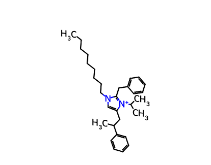 CCCCCCCCCn1cc(CC(C)c2ccccc2)[n+](C(C)C)c1Cc1ccccc1